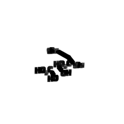 CC(C)(C)CC(C)(C)C.O=C(O)O.O=C(O)O